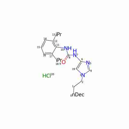 CCCCCCCCCCCCn1cnc(NC(=O)Nc2c(C(C)C)cccc2C(C)C)c1.Cl